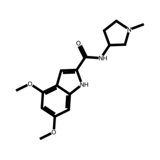 COc1cc(OC)c2cc(C(=O)NC3CCN(C)C3)[nH]c2c1